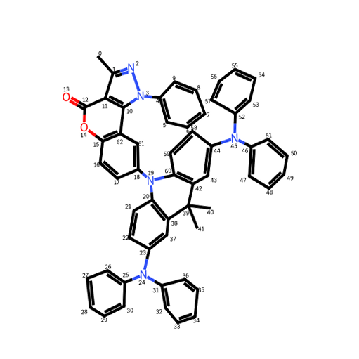 Cc1nn(-c2ccccc2)c2c1c(=O)oc1ccc(N3c4ccc(N(c5ccccc5)c5ccccc5)cc4C(C)(C)c4cc(N(c5ccccc5)c5ccccc5)ccc43)cc12